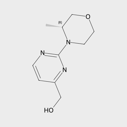 C[C@@H]1COCCN1c1nccc(CO)n1